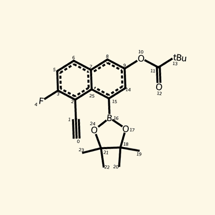 C#Cc1c(F)ccc2cc(OC(=O)C(C)(C)C)cc(B3OC(C)(C)C(C)(C)O3)c12